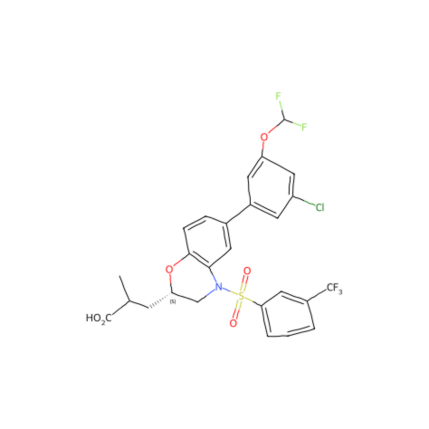 CC(C[C@H]1CN(S(=O)(=O)c2cccc(C(F)(F)F)c2)c2cc(-c3cc(Cl)cc(OC(F)F)c3)ccc2O1)C(=O)O